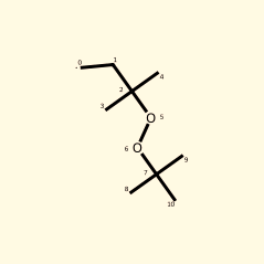 [CH2]CC(C)(C)OOC(C)(C)C